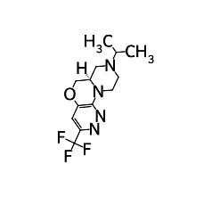 CC(C)N1CCN2c3nnc(C(F)(F)F)cc3OC[C@H]2C1